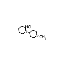 CN1CCC(N2CCCCC2)CC1.Cl